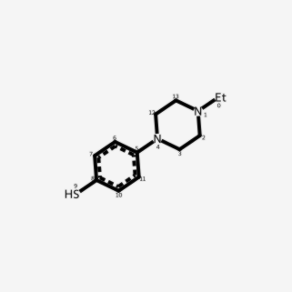 CCN1CCN(c2ccc(S)cc2)CC1